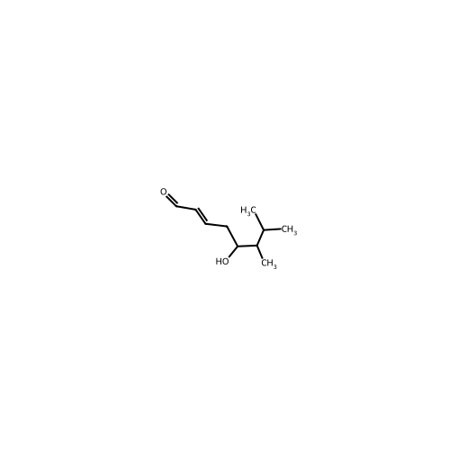 CC(C)C(C)C(O)C/C=C/C=O